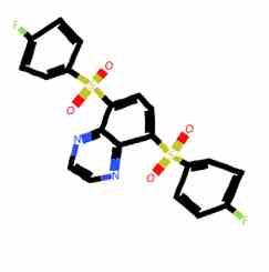 O=S(=O)(c1ccc(F)cc1)c1ccc(S(=O)(=O)c2ccc(F)cc2)c2nccnc12